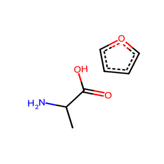 CC(N)C(=O)O.c1ccoc1